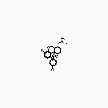 CCN(C[C@@H]1CCCC2(S(=O)(=O)c3ccc(Cl)cc3)c3c(F)ccc(F)c3OCC12)C(C)=O